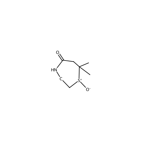 CC1(C)CC(=O)NCC[S+]1[O-]